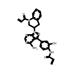 C=CC(=O)Nc1ccc(-c2nn(C3Cc4ccccc4N(C(=O)C=C)C3)c3ncnc(N)c23)cc1O